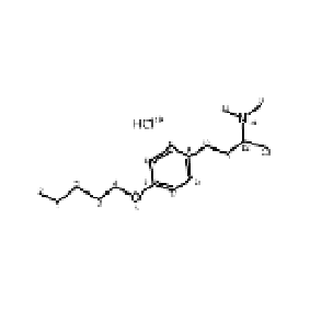 CCCCCOc1ccc(CCC(C)N(C)C)cc1.Cl